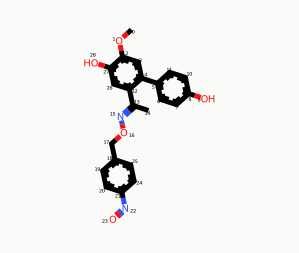 COc1cc(-c2ccc(O)cc2)c(/C(C)=N/OCc2ccc(N=O)cc2)cc1O